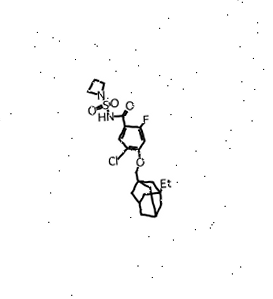 CCC12CC3CC(C1)CC(COc1cc(F)c(C(=O)NS(=O)(=O)N4CCC4)cc1Cl)(C3)C2